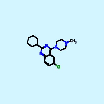 CN1CCN(c2nc(C3CCCCC3)nc3ccc(Cl)cc23)CC1